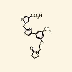 O=C(O)c1cnn(Cc2nc(-c3cc(OCCN4CCCC4=O)cc(C(F)(F)F)c3)cs2)c1